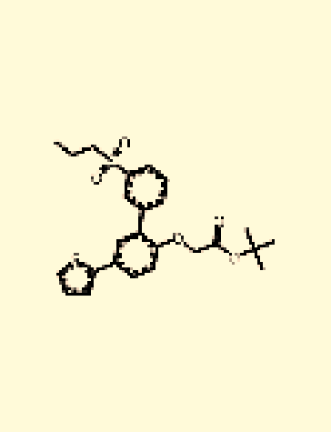 CCCS(=O)(=O)c1cccc(-c2cc(-c3cccs3)ccc2OCC(=O)OC(C)(C)C)c1